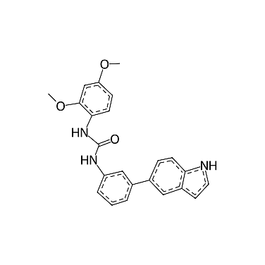 COc1ccc(NC(=O)Nc2cccc(-c3ccc4[nH]ccc4c3)c2)c(OC)c1